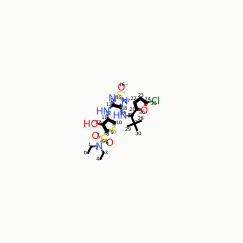 CCN(CC)S(=O)(=O)c1scc(Nc2n[s+]([O-])nc2N[C@@H](c2ccc(Cl)o2)C(C)(C)C)c1O